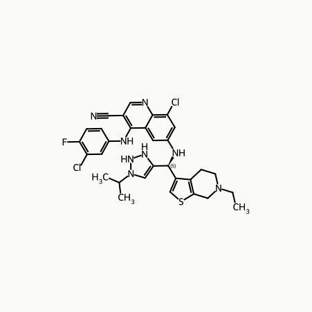 CCN1CCc2c([C@H](Nc3cc(Cl)c4ncc(C#N)c(Nc5ccc(F)c(Cl)c5)c4c3)C3=CN(C(C)C)NN3)csc2C1